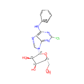 OC[C@H]1O[C@@H](n2cnc3c(Nc4ccccc4)nc(Cl)nc32)[C@H](O)[C@@H]1O